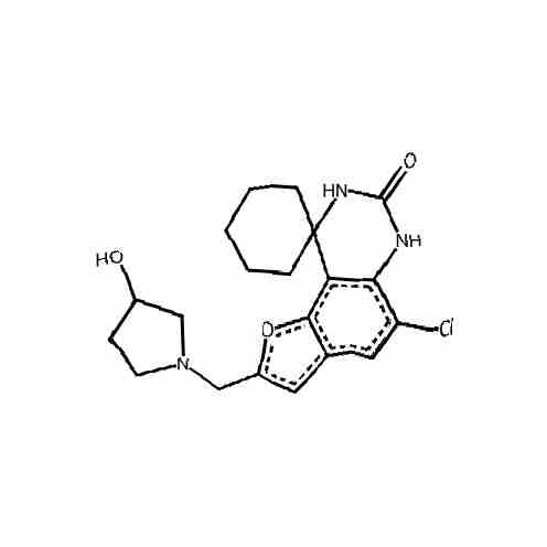 O=C1Nc2c(Cl)cc3cc(CN4CCC(O)C4)oc3c2C2(CCCCC2)N1